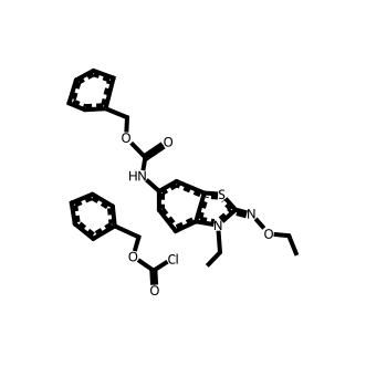 CCON=c1sc2cc(NC(=O)OCc3ccccc3)ccc2n1CC.O=C(Cl)OCc1ccccc1